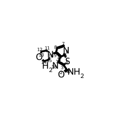 NC(=O)c1sc2nccc(N3CCOCC3)c2c1N